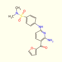 CN(C)S(=O)(=O)c1ccc(Nc2ccc(C(=O)c3ccco3)c(N)n2)cc1